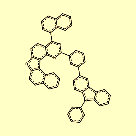 c1ccc(-n2c3ccccc3c3cc(-c4cccc(-c5nc(-c6cccc7ccccc67)c6ccc7oc8ccc9ccccc9c8c7c6n5)c4)ccc32)cc1